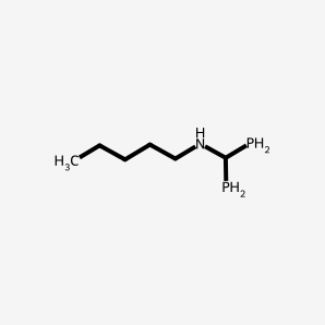 CCCCCNC(P)P